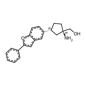 N[C@]1(CO)CC[C@@H](c2ccc3oc(-c4ccccc4)cc3c2)C1